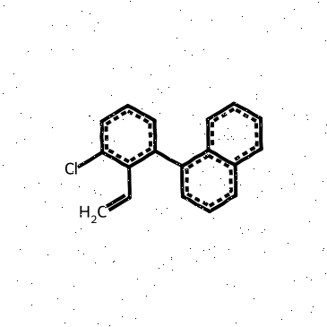 C=Cc1c(Cl)cccc1-c1cccc2ccccc12